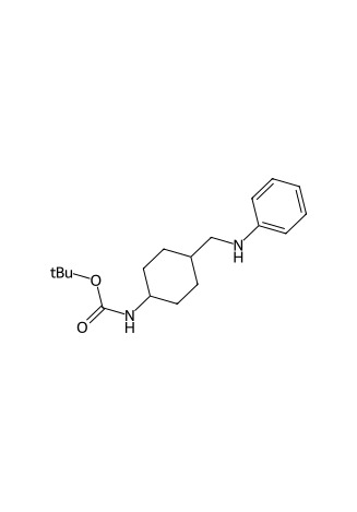 CC(C)(C)OC(=O)NC1CCC(CNc2ccccc2)CC1